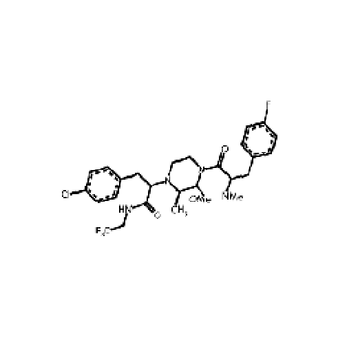 CNC(Cc1ccc(F)cc1)C(=O)N1CCN(C(Cc2ccc(Cl)cc2)C(=O)NCC(F)(F)F)C(C)C1OC